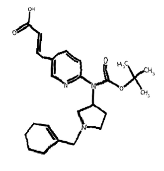 CC(C)(C)OC(=O)N(c1ccc(/C=C/C(=O)O)cn1)C1CCN(CC2=CCCCC2)C1